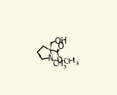 COC(=O)[C@@]1(CO)CCCN1C